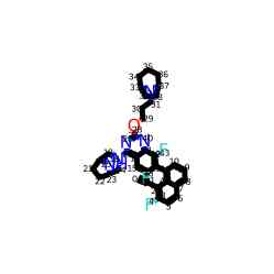 C#Cc1c(F)ccc2cccc(-c3c(F)cc4c(N5CC6CCC(C5)N6)nc(OCCCN5C6CCCC5CC6)nc4c3F)c12